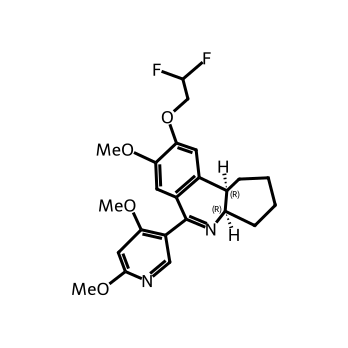 COc1cc(OC)c(C2=N[C@@H]3CCCC[C@@H]3c3cc(OCC(F)F)c(OC)cc32)cn1